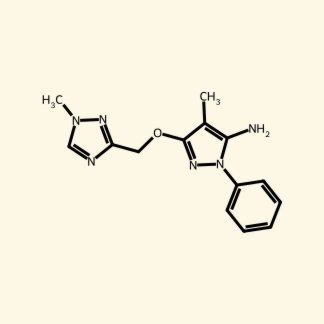 Cc1c(OCc2ncn(C)n2)nn(-c2ccccc2)c1N